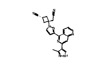 Cc1n[nH]cc1-c1cc2ncccc2c(-c2ccn([C@]3(CC#N)C[C@H](C#N)C3)n2)n1